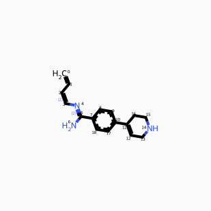 C=C/C=C\N=C(/N)c1ccc(C2=CCNCC2)cc1